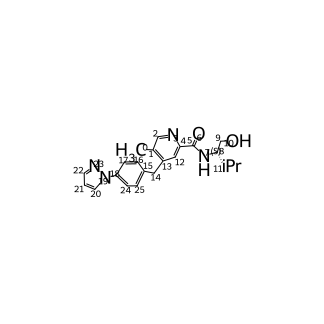 Cc1cnc(C(=O)N[C@H](CO)C(C)C)cc1Cc1ccc(-n2cccn2)cc1